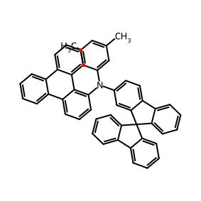 Cc1cc(C)cc(N(c2ccc3c(c2)C2(c4ccccc4-c4ccccc42)c2ccccc2-3)c2cccc3c4ccccc4c4ccccc4c23)c1